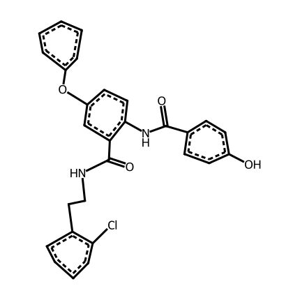 O=C(Nc1ccc(Oc2ccccc2)cc1C(=O)NCCc1ccccc1Cl)c1ccc(O)cc1